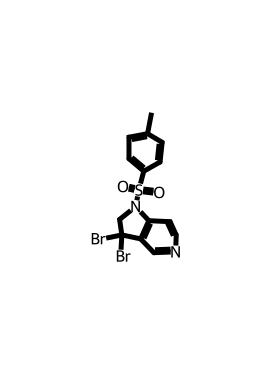 Cc1ccc(S(=O)(=O)N2CC(Br)(Br)c3cnccc32)cc1